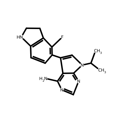 CC(C)n1cc(-c2ccc3c(c2F)CCN3)c2c(N)ncnc21